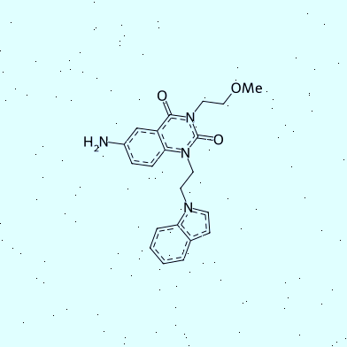 COCCn1c(=O)c2cc(N)ccc2n(CCn2ccc3ccccc32)c1=O